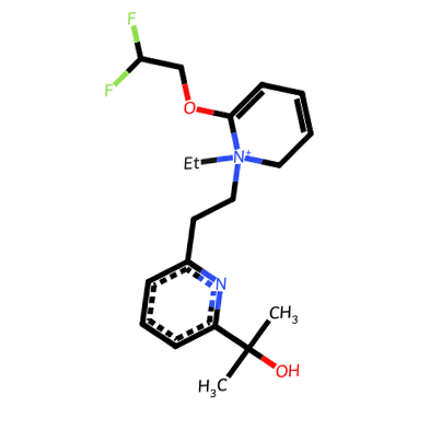 CC[N+]1(CCc2cccc(C(C)(C)O)n2)CC=CC=C1OCC(F)F